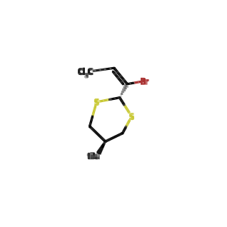 CC(C)(C)[C@H]1CS[C@H](/C(Br)=C\C(Cl)(Cl)Cl)SC1